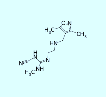 CN/C(=N/CCNCc1c(C)noc1C)NC#N